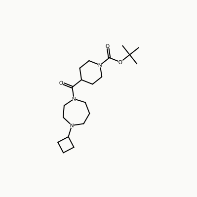 CC(C)(C)OC(=O)N1CCC(C(=O)N2CCCN(C3CCC3)CC2)CC1